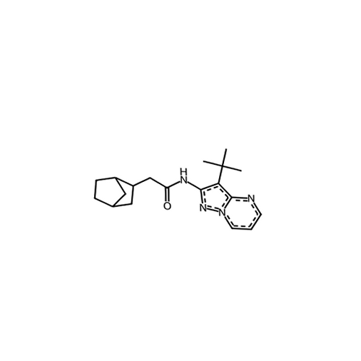 CC(C)(C)c1c(NC(=O)CC2CC3CCC2C3)nn2cccnc12